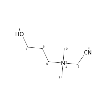 C[N+](C)(CC#N)CCCO